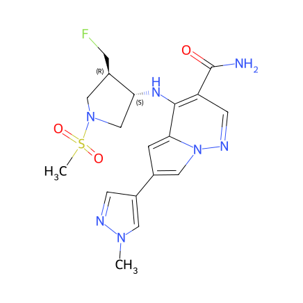 Cn1cc(-c2cc3c(N[C@@H]4CN(S(C)(=O)=O)C[C@H]4CF)c(C(N)=O)cnn3c2)cn1